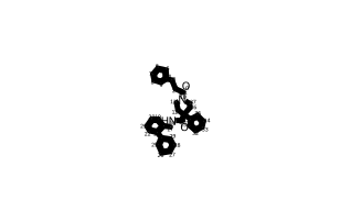 O=C(CCc1ccccc1)N1CCC(C(=O)NCc2ccccc2-c2ccccc2)(c2ccccc2)CC1